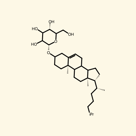 CC(C)CCC[C@@H](C)[C@H]1CCC2C3CC=C4CC(O[C@H]5OC(CO)[C@@H](O)C(O)C5O)CC[C@]4(C)C3CC[C@@]21C